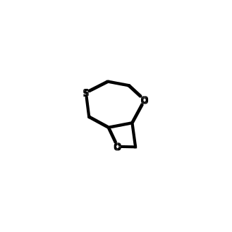 C1CSCC2OCC2O1